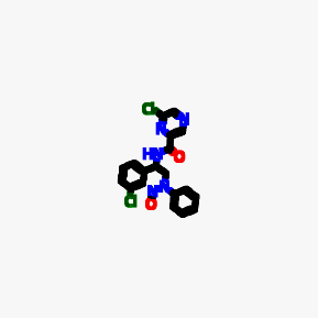 O=NN(CC(NC(=O)c1cncc(Cl)n1)c1cccc(Cl)c1)c1ccccc1